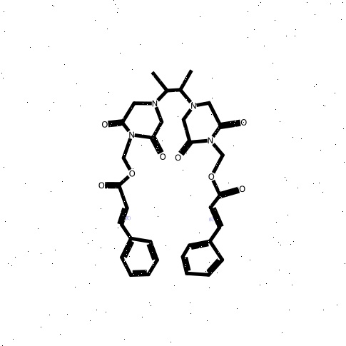 CC(C(C)N1CC(=O)N(COC(=O)/C=C/c2ccccc2)C(=O)C1)N1CC(=O)N(COC(=O)/C=C/c2ccccc2)C(=O)C1